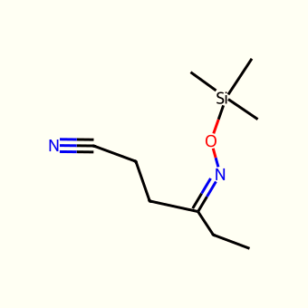 CCC(CCC#N)=NO[Si](C)(C)C